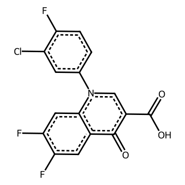 O=C(O)c1cn(-c2ccc(F)c(Cl)c2)c2cc(F)c(F)cc2c1=O